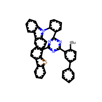 CC(C)(C)c1ccc(-c2ccccc2)cc1-c1nc(-c2ccccc2-n2c3ccccc3c3ccccc32)nc(-c2cccc3c2sc2ccccc23)n1